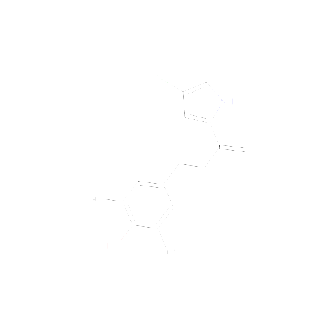 C=C(CCc1cc(C(C)(C)C)c(O)c(C(C)(C)C)c1)c1cc(Cl)c[nH]1